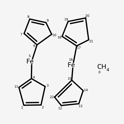 C.C1=CC[C]([Fe][C]2=CC=CC2)=C1.C1=CC[C]([Fe][C]2=CC=CC2)=C1